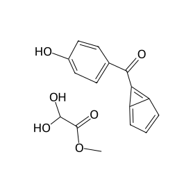 COC(=O)C(O)O.O=C(c1ccc(O)cc1)c1c2cccc1-2